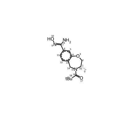 C[C@H]1COc2cc(C(N)=NO)ccc2CN1C(=O)C(C)(C)C